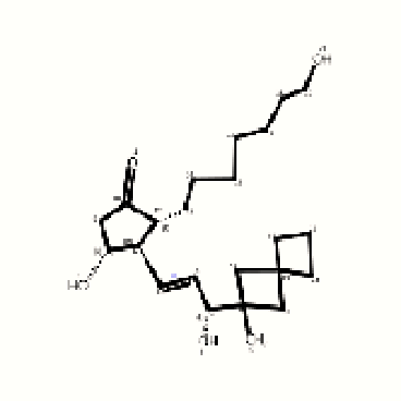 CC1([C@H](O)/C=C/[C@H]2[C@H](O)CC(=O)[C@@H]2CCCCCCCO)CC2(CCC2)C1